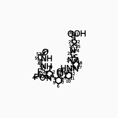 Cc1cc(-c2cccc(-c3cccc(Nc4nccc5sc(CN6CCC7(CC(C(=O)O)C7)C6)nc45)c3Cl)c2Cl)nc(OC(F)F)c1CNC[C@@H]1CCC(=O)N1